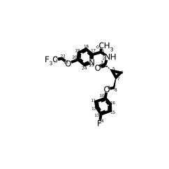 CC(NC(=O)[C@@H]1C[C@H]1COc1ccc(F)cc1)c1ccc(OCC(F)(F)F)cn1